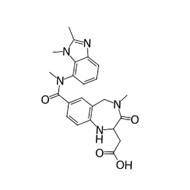 Cc1nc2cccc(N(C)C(=O)c3ccc4c(c3)CN(C)C(=O)C(CC(=O)O)N4)c2n1C